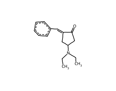 CCN(CC)C1CC(=O)C(=Cc2ccccc2)C1